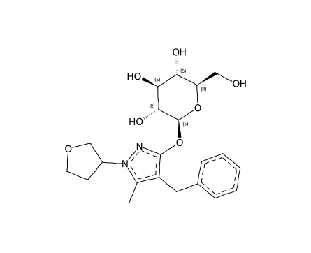 Cc1c(Cc2ccccc2)c(O[C@@H]2O[C@H](CO)[C@@H](O)[C@H](O)[C@H]2O)nn1C1CCOC1